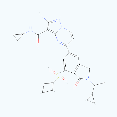 CC(C1CC1)N1Cc2cc(-c3ccn4nc(N)c(C(=O)NC5CC5)c4n3)cc(S(=O)(=O)C3CCC3)c2C1=O